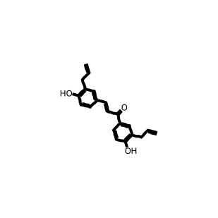 C=CCc1cc(C=CC(=O)c2ccc(O)c(CC=C)c2)ccc1O